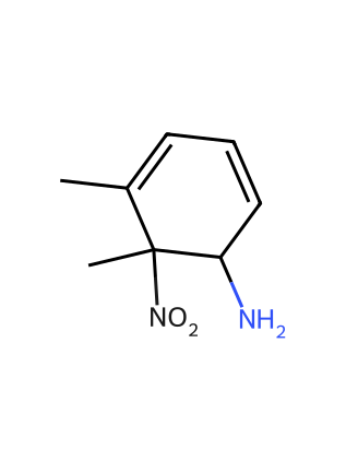 CC1=CC=CC(N)C1(C)[N+](=O)[O-]